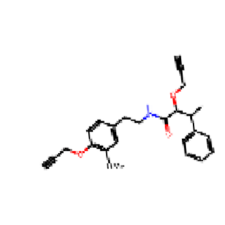 C#CCOc1ccc(CCNC(=O)C(OCC#C)C(C)c2ccccc2)cc1OC